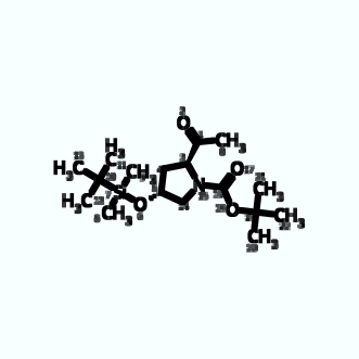 CC(=O)[C@@H]1C[C@@H](O[Si](C)(C)C(C)(C)C)CN1C(=O)OC(C)(C)C